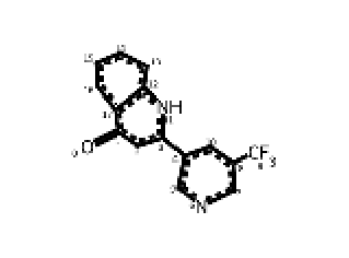 O=c1cc(-c2cncc(C(F)(F)F)c2)[nH]c2ccccc12